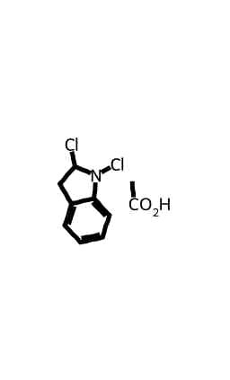 CC(=O)O.ClC1Cc2ccccc2N1Cl